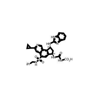 CC(C)CNS(=O)(=O)c1cc2c(c3cnc(C4CC4)cc13)[C@H](Nc1nc3ccccc3[nH]1)C[C@H]2NC(=O)NC(=O)O